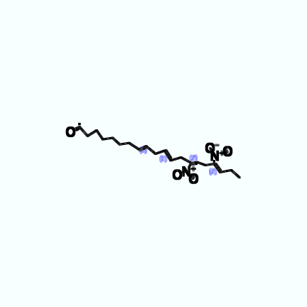 CC/C=C(/C/C=C(/C/C=C/C/C=C/CCCCCC[C]=O)[N+](=O)[O-])[N+](=O)[O-]